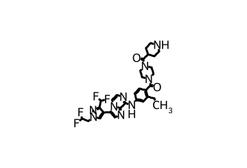 CCc1cc(Nc2nccn3c(-c4cn(CC(F)F)nc4C(F)F)cnc23)ccc1C(=O)N1CCN(C(=O)C2CCNCC2)CC1